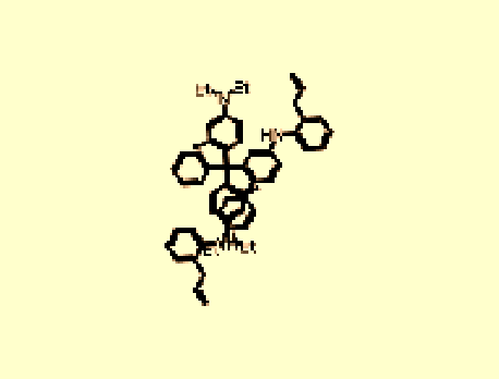 C=CCc1ccccc1Nc1ccc(-c2ccc(Nc3ccccc3CC=C)cc2C(c2ccccc2)(c2ccc(N(CC)CC)cc2C)c2ccc(N(CC)CC)cc2C)cc1